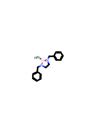 CCCB1N(Cc2ccccc2)CCN1Cc1ccccc1